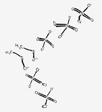 C[S][U+5].C[S][U+5].O=S(=O)([O-])[O-].O=S(=O)([O-])[O-].O=S(=O)([O-])[O-].O=S(=O)([O-])[O-].O=S(=O)([O-])[O-]